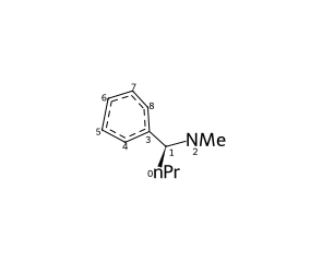 CCC[C@H](NC)c1ccccc1